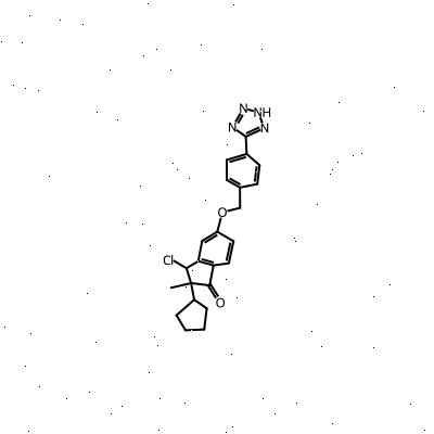 CC1(C2CCCC2)C(=O)c2ccc(OCc3ccc(-c4nn[nH]n4)cc3)cc2C1Cl